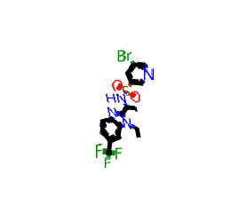 CCn1c(C(C)NS(=O)(=O)c2cncc(Br)c2)nc2ccc(C(F)(F)F)cc21